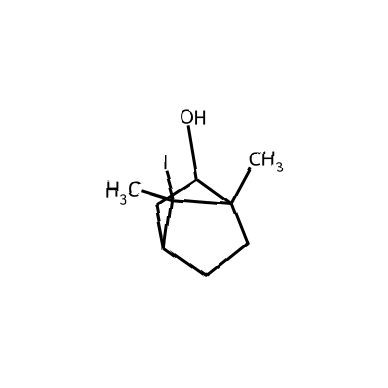 CC1(I)C2CCC1(C)C(O)C2